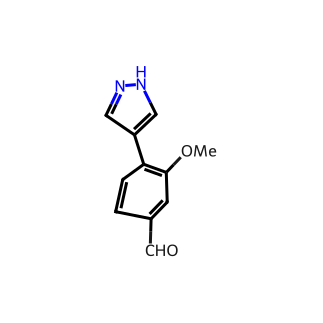 COc1cc(C=O)ccc1-c1cn[nH]c1